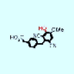 COc1cc(C#N)c(Cc2ccc(CC(=O)O)cc2)c(C#N)c1O